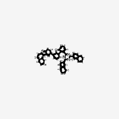 c1ccc2cc(C3=NC(c4cccc5oc6c(-c7ccc8sc9ccc%10ccccc%10c9c8c7)cccc6c45)=NC(c4ccc5ccccc5c4)N3)ccc2c1